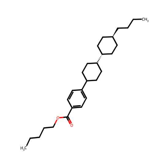 CCCCCOC(=O)c1ccc(C2CCC([C@H]3CC[C@H](CCCC)CC3)CC2)cc1